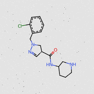 O=C(NC1CCCNC1)C1C=NN(Cc2ccccc2Cl)C1